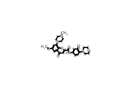 COc1cc(N2CCN(C)CC2)c2oc(C(=O)Nc3ccc(N4CCOCC4)c(Cl)c3)cc(=O)c2c1